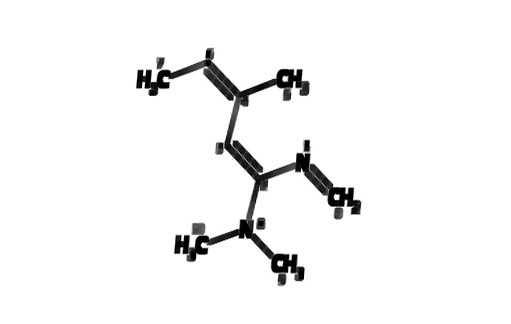 C=N/C(=C\C(C)=C/C)N(C)C